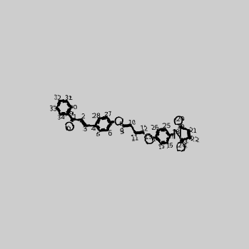 O=C(C=Cc1ccc(OCCCCOc2ccc(N3C(=O)C=CC3=O)cc2)cc1)c1ccccc1